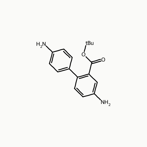 CC(C)(C)OC(=O)c1cc(N)ccc1-c1ccc(N)cc1